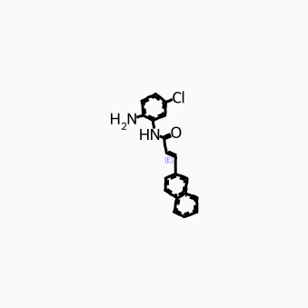 Nc1ccc(Cl)cc1NC(=O)/C=C/c1ccc2ccccc2c1